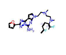 C=C(F)/C=C\C(=C(/C)F)N(C)CCN(C)CCn1ccc2c1nc(N)n1nc(-c3ccco3)nc21